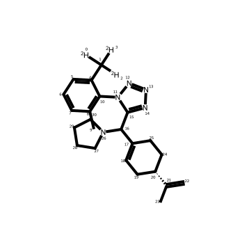 [2H]C([2H])([2H])c1cccc(C)c1-n1nnnc1C(C1=CC[C@@H](C(=C)C)CC1)N1CCCC1